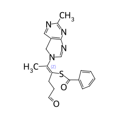 C/C(=C(\CCC=O)SC(=O)c1ccccc1)N1C=Nc2nc(C)ncc2C1